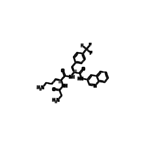 NCCC[C@H](NC(=O)CN)C(=O)N[C@@H](Cc1ccc(C(F)(F)F)cc1)C(=O)Nc1cnc2ccccc2c1